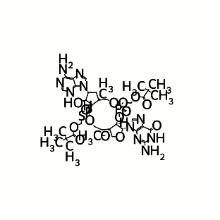 COC12CCOP(=O)(SCOC(=O)C(C)(C)C)[C@H]3[C@@H](O)[C@H](n4cnc5c(N)ncnc54)C[C@]3(C)COP(=O)(OCOC(=O)C(C)(C)C)O[C@H]1[C@H](n1cnc3c(=O)[nH]c(N)nc31)OC2